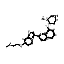 COCCOc1ccn2c(-c3ccc4cccc(O[C@H]5CCNC[C@H]5O)c4n3)cnc2c1